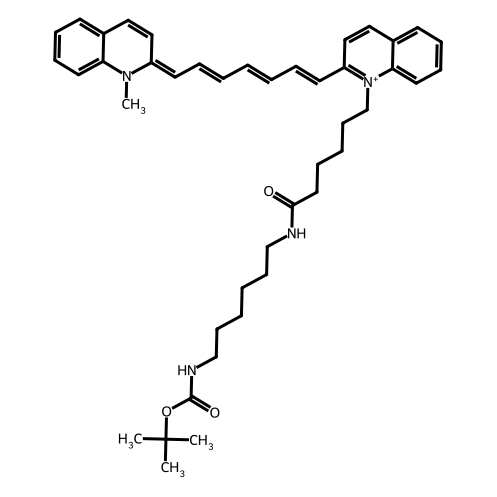 CN1/C(=C/C=C/C=C/C=C/c2ccc3ccccc3[n+]2CCCCCC(=O)NCCCCCCNC(=O)OC(C)(C)C)C=Cc2ccccc21